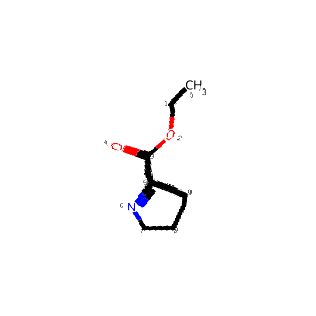 CCOC(=O)C1=NCCC1